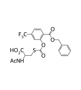 CC(=O)NC(CSC(=O)Oc1cc(C(F)(F)F)ccc1C(=O)OCc1ccccc1)C(=O)O